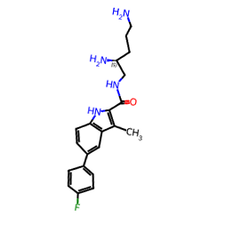 Cc1c(C(=O)NC[C@@H](N)CCCN)[nH]c2ccc(-c3ccc(F)cc3)cc12